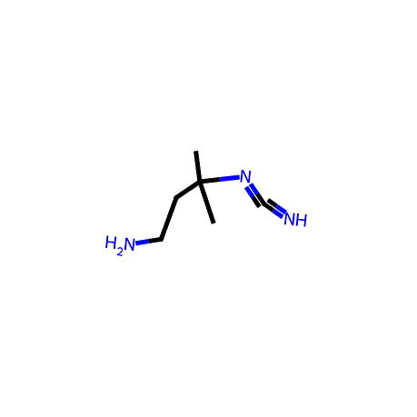 CC(C)(CCN)N=C=N